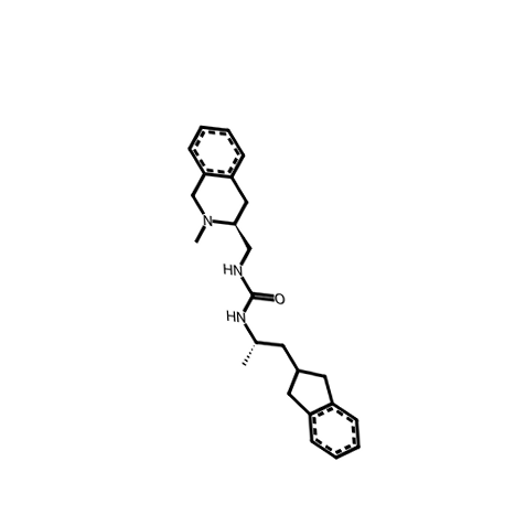 C[C@@H](CC1Cc2ccccc2C1)NC(=O)NC[C@@H]1Cc2ccccc2CN1C